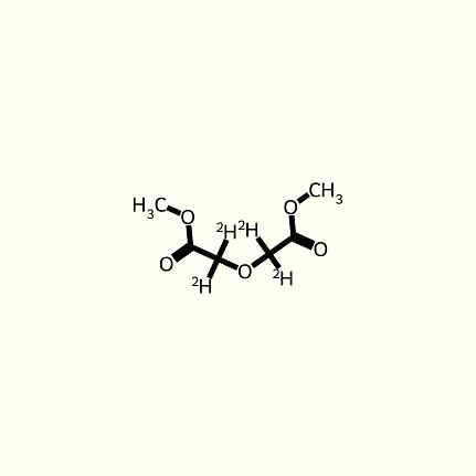 [2H]C([2H])(OC([2H])([2H])C(=O)OC)C(=O)OC